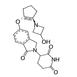 O=C1CCC(N2Cc3cc(O[C@@H]4CCC[C@H]4N4CC(O)C4)ccc3C2=O)C(=O)N1